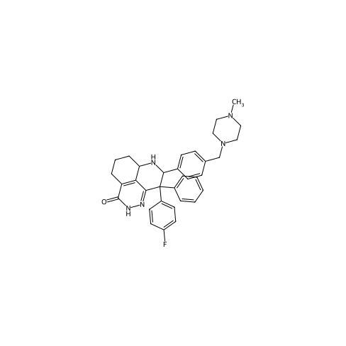 CN1CCN(Cc2ccc(C3NC4CCCc5c4c(n[nH]c5=O)C3(c3ccccc3)c3ccc(F)cc3)cc2)CC1